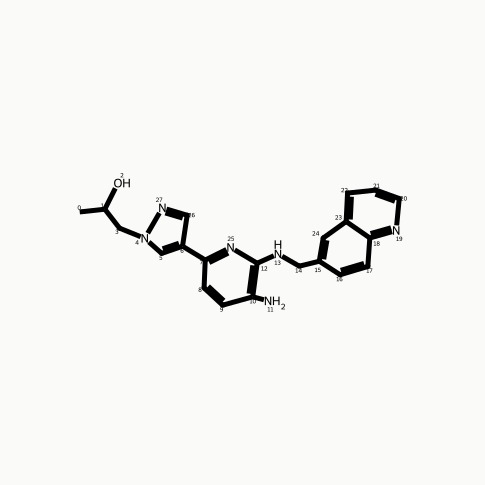 CC(O)Cn1cc(-c2ccc(N)c(NCc3ccc4ncccc4c3)n2)cn1